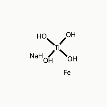 [Fe].[NaH].[OH][Ti]([OH])([OH])[OH]